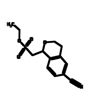 CCOS(=O)(=O)CC1OCCc2cc(C#N)ccc21